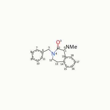 CNC1C(=O)N(Cc2ccccc2)CCc2ccccc21